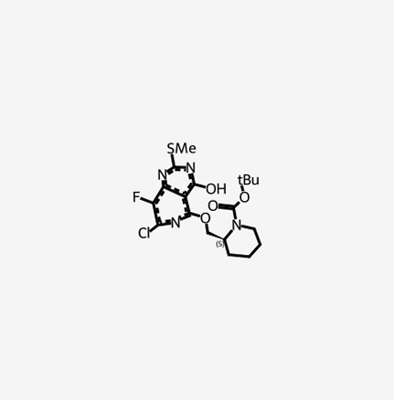 CSc1nc(O)c2c(OC[C@@H]3CCCCN3C(=O)OC(C)(C)C)nc(Cl)c(F)c2n1